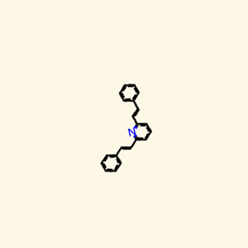 C(=C\c1cccc(/C=C/c2ccccc2)n1)/c1ccccc1